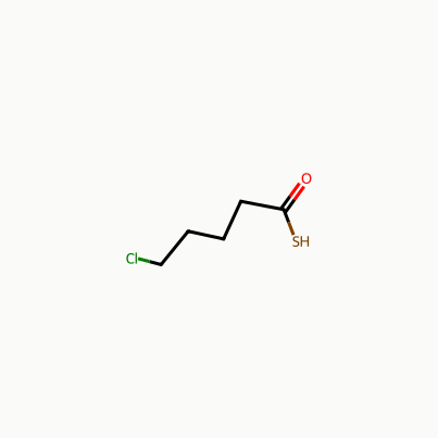 O=C(S)CCCCCl